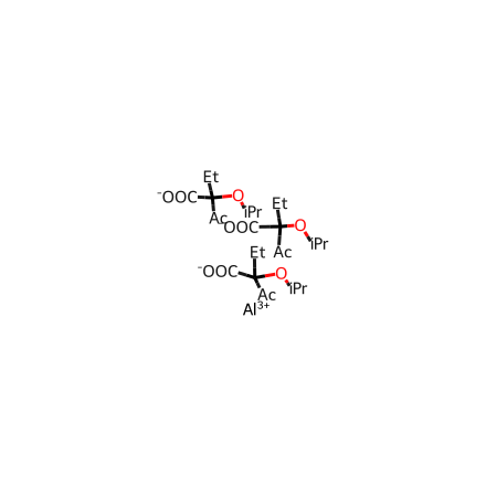 CCC(OC(C)C)(C(C)=O)C(=O)[O-].CCC(OC(C)C)(C(C)=O)C(=O)[O-].CCC(OC(C)C)(C(C)=O)C(=O)[O-].[Al+3]